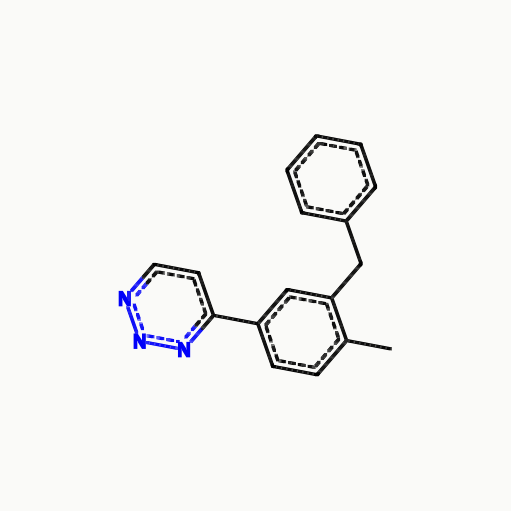 Cc1ccc(-c2ccnnn2)cc1Cc1ccccc1